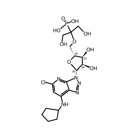 O=P(O)(O)C(CO)(CO)OC[C@H]1O[C@@H](n2nnc3c(NC4CCCC4)cc(Cl)nc32)[C@H](O)[C@@H]1O